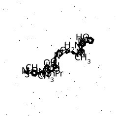 Cc1ncsc1-c1ccc([C@H](C)NC(=O)[C@@H]2C[C@@H](O)CN2C(=O)[C@@H](c2cc(OCCN3CCC(O[C@H]4C[C@H](C#CC(C)n5cc(-c6cc(-c7ccccc7O)nnc6N)cn5)C4)CC3)no2)C(C)C)cc1